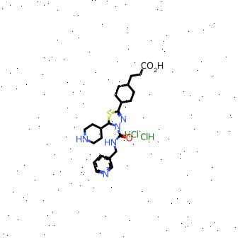 Cl.Cl.O=C(O)CCC1CCC(C2=NN(C(=O)NCc3cccnc3)C(C3CCNCC3)S2)CC1